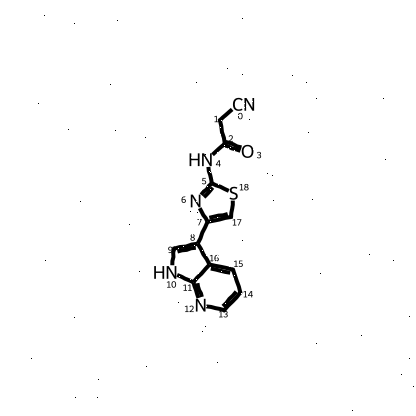 N#CCC(=O)Nc1nc(-c2c[nH]c3ncccc23)cs1